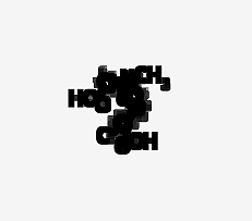 CC1=NN(c2cccc(C(=O)O)c2)C(=O)C1=Cc1ccc(-c2ccc(Cl)c(C(=O)O)c2)s1